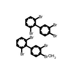 Brc1ccc(-c2c(Br)cccc2Br)cc1Br.Brc1ccc(-c2c(Br)cccc2Br)cc1Br.O